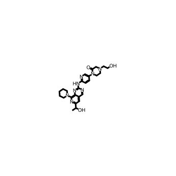 CC(O)c1cc2cnc(Nc3ccc(N4CCN(CCO)CC4=O)cn3)nc2c(N2CCCCC2)n1